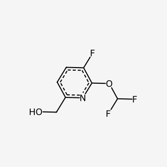 OCc1ccc(F)c(OC(F)F)n1